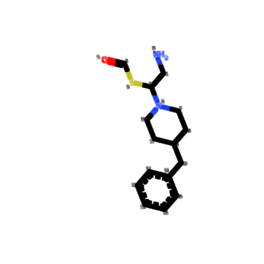 NCC(SC=O)N1CCC(Cc2ccccc2)CC1